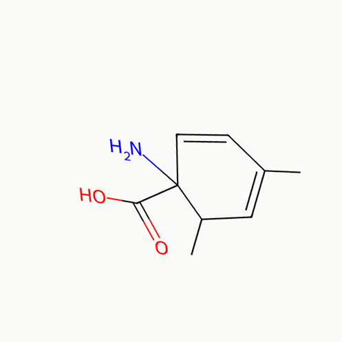 CC1=CC(C)C(N)(C(=O)O)C=C1